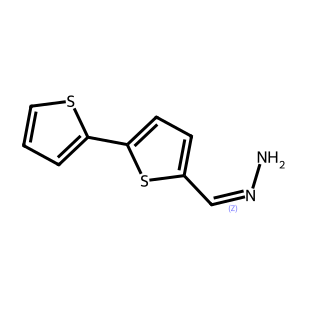 N/N=C\c1ccc(-c2cccs2)s1